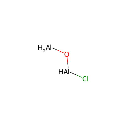 [AlH2][O][AlH][Cl]